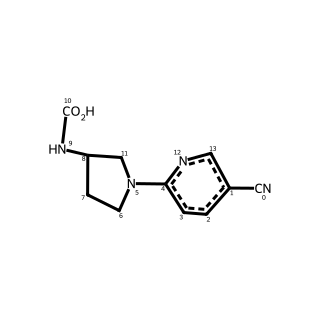 N#Cc1ccc(N2CCC(NC(=O)O)C2)nc1